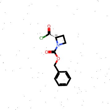 O=C(Cl)[C@@H]1CCN1C(=O)OCc1ccccc1